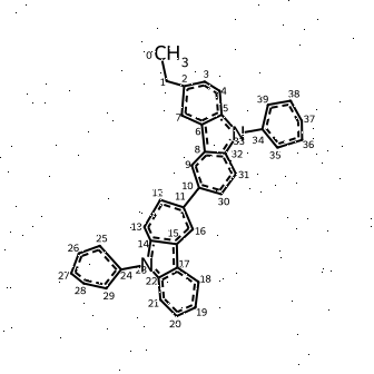 CCc1ccc2c(c1)c1cc(-c3ccc4c(c3)c3ccccc3n4-c3ccccc3)ccc1n2-c1ccccc1